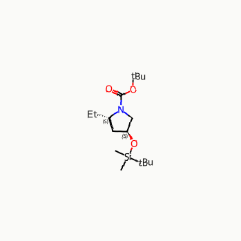 CC[C@H]1C[C@H](O[Si](C)(C)C(C)(C)C)CN1C(=O)OC(C)(C)C